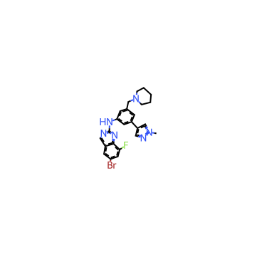 Cn1cc(-c2cc(CN3CCCCC3)cc(Nc3ncc4cc(Br)cc(F)c4n3)c2)cn1